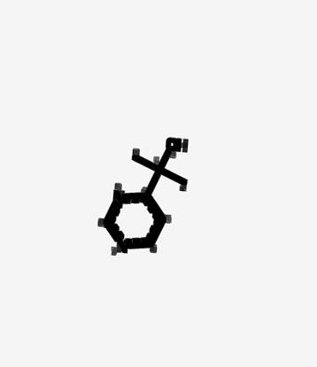 CC(C)(O)c1ccn[c]n1